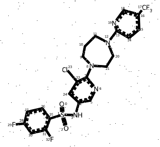 O=S(=O)(Nc1cnc(N2CCCN(c3ccc(C(F)(F)F)cn3)CC2)c(Cl)c1)c1ccc(F)cc1F